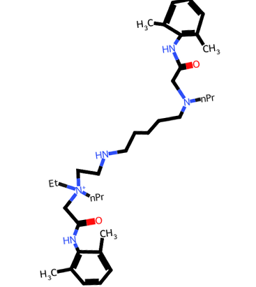 CCCN(CCCCCNCC[N+](CC)(CCC)CC(=O)Nc1c(C)cccc1C)CC(=O)Nc1c(C)cccc1C